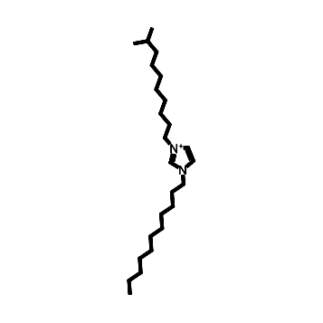 CCCCCCCCCCCn1cc[n+](CCCCCCCCC(C)C)c1